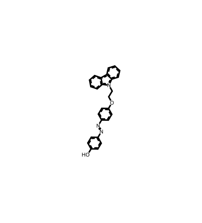 Oc1ccc(/N=N/c2ccc(OCCn3c4ccccc4c4ccccc43)cc2)cc1